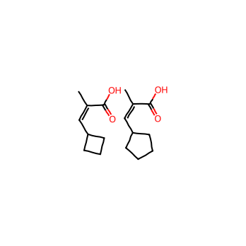 CC(=CC1CCC1)C(=O)O.CC(=CC1CCCC1)C(=O)O